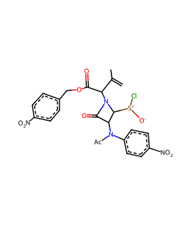 C=C(C)C(C(=O)OCc1ccc([N+](=O)[O-])cc1)N1C(=O)C(N(C(C)=O)c2ccc([N+](=O)[O-])cc2)C1[S+]([O-])Cl